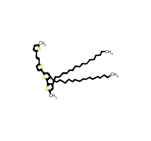 CCCCCCCCCCCCCCCCC1(CCCCCCCCCCCCCCCC)c2cc(C)sc2-c2sc(-c3ccc(/C=C/c4ccc(C)s4)s3)cc21